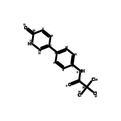 O=C(Nc1ccc(-c2ccc(=O)[nH]n2)cc1)C(Cl)(Cl)Cl